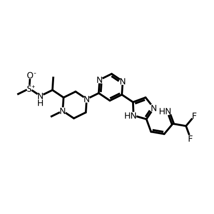 CC(N[S+](C)[O-])C1CN(c2cc(-c3cnc(/C=C\C(=N)C(F)F)[nH]3)ncn2)CCN1C